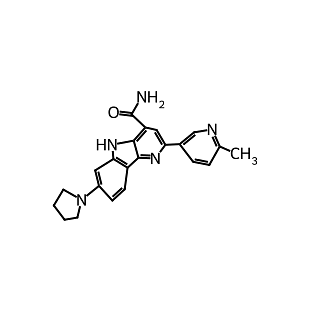 Cc1ccc(-c2cc(C(N)=O)c3[nH]c4cc(N5CCCC5)ccc4c3n2)cn1